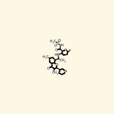 Cc1cc([C@@H](C)Nc2ccc(F)nc2C(=O)NS(C)(=O)=O)c2oc(-c3cccnc3)c(C)c(=O)c2c1